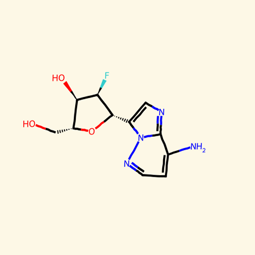 Nc1ccnn2c([C@@H]3O[C@H](CO)[C@@H](O)[C@H]3F)cnc12